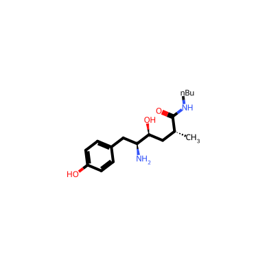 CCCCNC(=O)[C@H](C)C[C@H](O)[C@@H](N)Cc1ccc(O)cc1